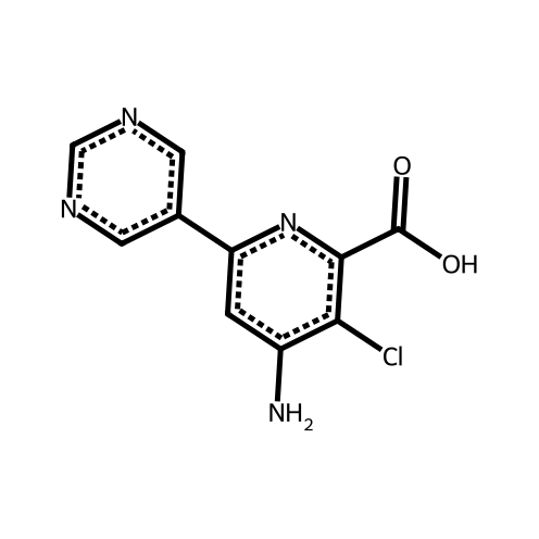 Nc1cc(-c2cncnc2)nc(C(=O)O)c1Cl